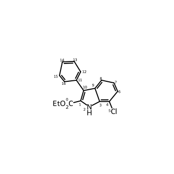 CCOC(=O)c1[nH]c2c(Cl)cccc2c1-c1ccccc1